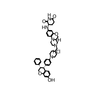 Cl.O=C1CCC(Nc2ccc3c(c2)OC[C@H]2CN(CC4CCN(c5ccc([C@@H]6c7ccc(O)cc7OC[C@@H]6c6ccccc6)cc5)CC4)CCN32)C(=O)N1